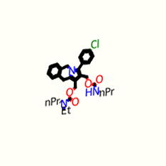 CCCNC(=O)OCc1c(COC(=O)N(CC)CCC)c2n(c1-c1ccc(Cl)cc1)Cc1ccccc1C2